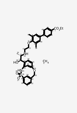 C.CCOC(=O)c1ccc(-c2cc(C)c(OCCN[C@@H](C)[C@H](O)c3ccc4cc3NS(=O)(=O)c3cccc(c3)CO4)c(C)c2)cc1